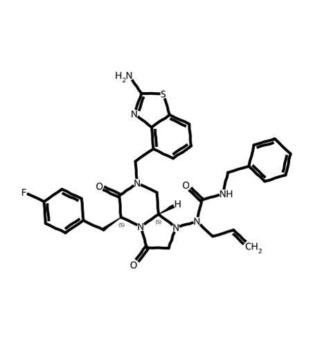 C=CCN(C(=O)NCc1ccccc1)N1CC(=O)N2[C@@H](Cc3ccc(F)cc3)C(=O)N(Cc3cccc4sc(N)nc34)C[C@@H]21